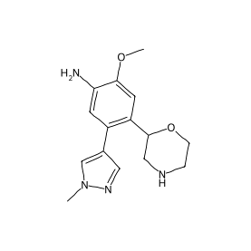 COc1cc(C2CNCCO2)c(-c2cnn(C)c2)cc1N